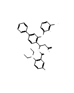 CCN(CC)c1ccc(Br)cc1C(=O)NC(CC(=O)O)c1ccc(-c2ccccc2)cc1Oc1cccc(F)c1